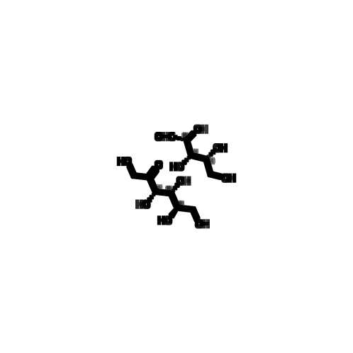 O=C(CO)[C@@H](O)[C@H](O)[C@H](O)CO.O=C[C@H](O)[C@@H](O)[C@H](O)CO